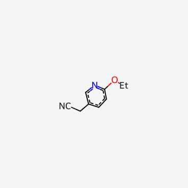 CCOc1ccc(CC#N)cn1